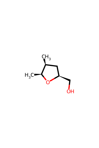 C[C@@H]1O[C@H](CO)C[C@@H]1C